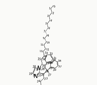 CCCCCCCCCCCCCCCCCn1ccnc1C(CCC)C(C)(Cc1ccccc1)c1ccccc1